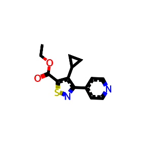 CCOC(=O)c1snc(-c2ccncc2)c1C1CC1